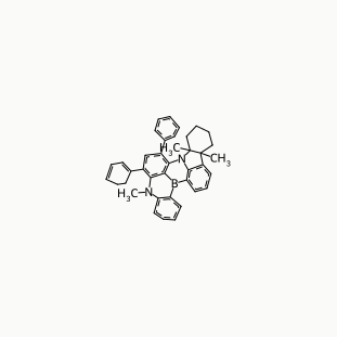 CN1c2ccccc2B2c3cccc4c3N(c3c(-c5ccccc5)cc(C5=CC=CCC5)c1c32)C1(C)CCCCC41C